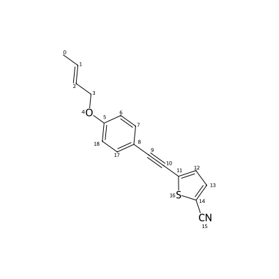 C/C=C/COc1ccc(C#Cc2ccc(C#N)s2)cc1